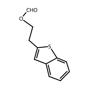 O=COCCc1cc2ccccc2s1